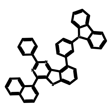 c1ccc(-c2nc(-c3cccc4ccccc34)c3sc4cccc(-c5cccc(-n6c7ccccc7c7ccccc76)c5)c4c3n2)cc1